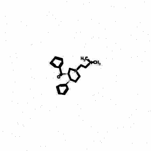 CN(C)CCN1C[CH][C@H](c2ccccc2)[C@H](C(=O)c2ccccc2)C1